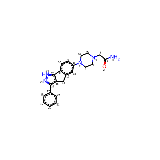 NC(=O)CN1CCN(c2ccc3c(c2)Cc2c(-c4ccccc4)n[nH]c2-3)CC1